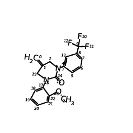 C=C1CN(c2cccc(C(F)(F)F)c2)C(=O)N(c2ccccc2OC)C1